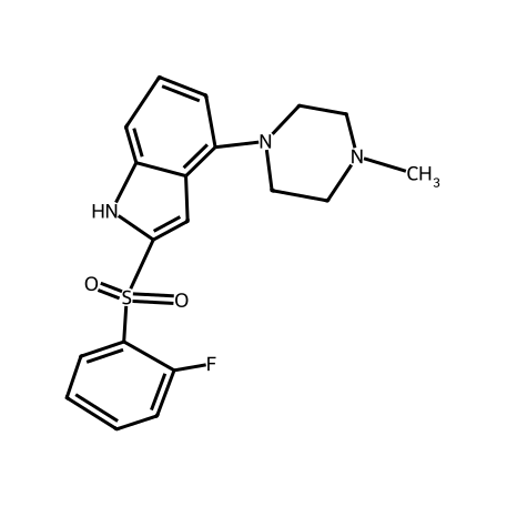 CN1CCN(c2cccc3[nH]c(S(=O)(=O)c4ccccc4F)cc23)CC1